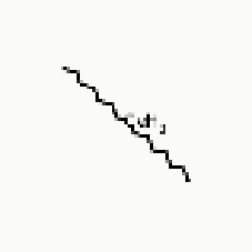 CCCCCC[CH2][GeH2][CH2]CCCCCC